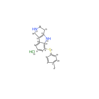 Cc1ccc(Sc2cccc3c4c([nH]c23)CCNC4)cc1.Cl